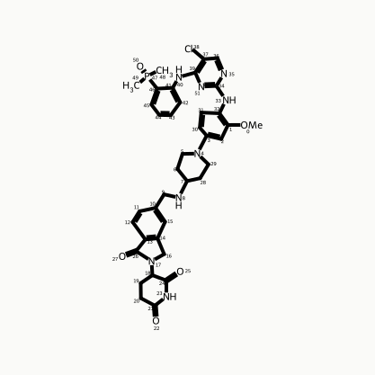 COc1cc(N2CCC(NCc3ccc4c(c3)CN(C3CCC(=O)NC3=O)C4=O)CC2)ccc1Nc1ncc(Cl)c(Nc2ccccc2P(C)(C)=O)n1